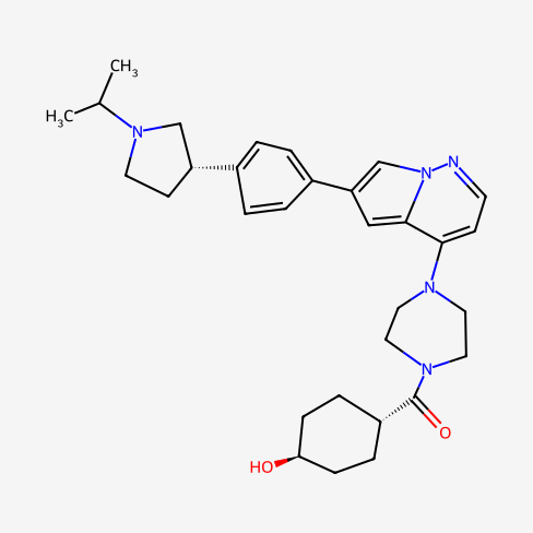 CC(C)N1CC[C@@H](c2ccc(-c3cc4c(N5CCN(C(=O)[C@H]6CC[C@H](O)CC6)CC5)ccnn4c3)cc2)C1